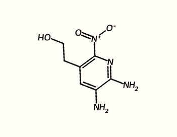 Nc1cc(CCO)c([N+](=O)[O-])nc1N